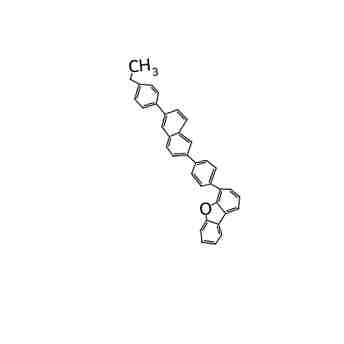 CCc1ccc(-c2ccc3cc(-c4ccc(-c5cccc6c5oc5ccccc56)cc4)ccc3c2)cc1